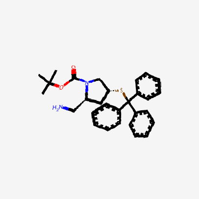 CC(C)(C)OC(=O)N1C[C@H](SC(c2ccccc2)(c2ccccc2)c2ccccc2)C[C@H]1CN